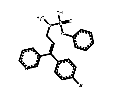 CN(C/C=C(/c1ccc(Br)cc1)c1cccnc1)P(=O)(O)Oc1ccccc1